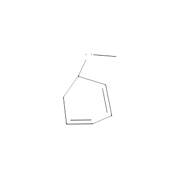 CO[C@@]1(C)C=CC=CC1